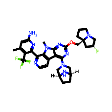 Cc1cc(N)nc(-c2nccc3c4c(N5C[C@H]6CC[C@@H](C5)N6)nc(OC[C@@]56CCCN5C[C@H](F)C6)nc4n(C)c23)c1C(F)(F)F